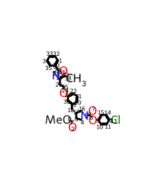 COC(=O)[C@H]1CN(C(=O)Oc2ccc(Cl)cc2)C[C@H]1Cc1cccc(OCCc2nc(-c3ccccc3)oc2C)c1